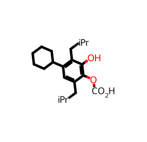 CC(C)Cc1cc(C2CCCCC2)c(CC(C)C)c(O)c1OC(=O)O